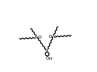 CCCCCCCCCCN(CCCCCC)C(=O)CCCCCCCN(CCCCCCCC(=O)N(CCCCCC)CCCCCCCCCC)C1CCC(O)CC1